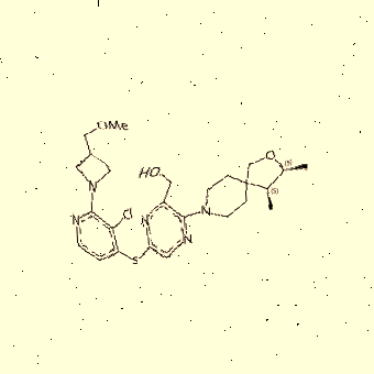 COCC1CN(c2nccc(Sc3cnc(N4CCC5(CC4)CO[C@@H](C)[C@H]5C)c(CO)n3)c2Cl)C1